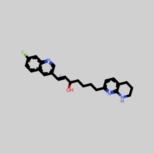 OC(/C=C/c1cnc2cc(F)ccc2c1)CCCCc1ccc2c(n1)NCCC2